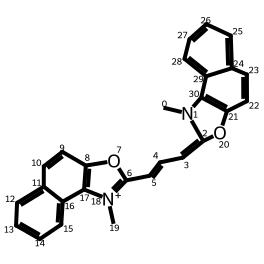 CN1C(=CC=Cc2oc3ccc4ccccc4c3[n+]2C)Oc2ccc3ccccc3c21